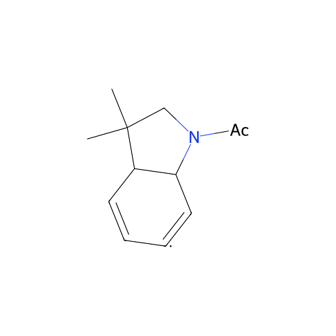 CC(=O)N1CC(C)(C)C2C=C[C]=CC21